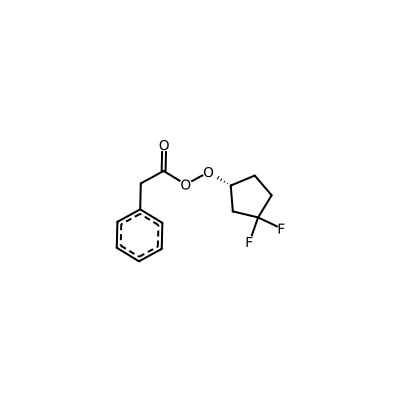 O=C(Cc1ccccc1)OO[C@@H]1CCC(F)(F)C1